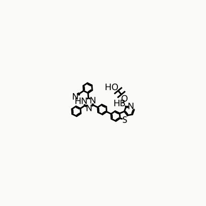 CC(C)(O)C(C)(C)OBc1nccc2sc3ccc(-c4ccc(C5=NC(c6ccccc6C#N)NC(c6ccccc6)=N5)cc4)cc3c12